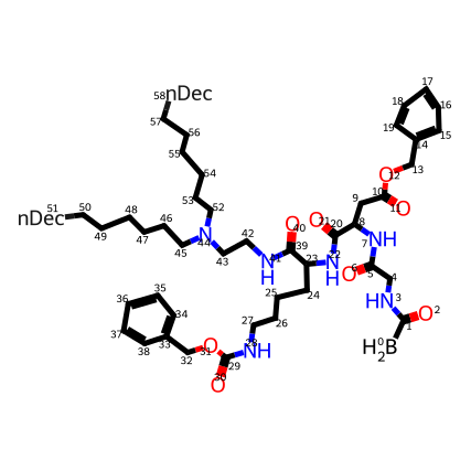 BC(=O)NCC(=O)NC(CC(=O)OCc1ccccc1)C(=O)NC(CCCCNC(=O)OCc1ccccc1)C(=O)NCCN(CCCCCCCCCCCCCCCC)CCCCCCCCCCCCCCCC